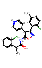 Cc1ccc(F)c(-c2noc(NC(=O)C(C)c3ccccc3Cl)c2-c2ccncc2)c1